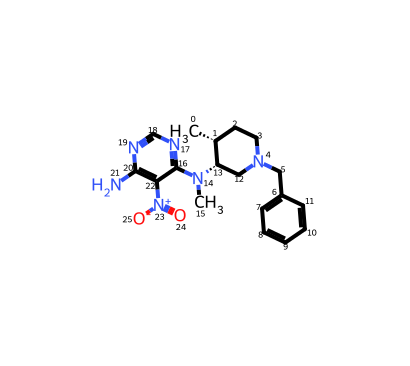 C[C@@H]1CCN(Cc2ccccc2)C[C@@H]1N(C)c1ncnc(N)c1[N+](=O)[O-]